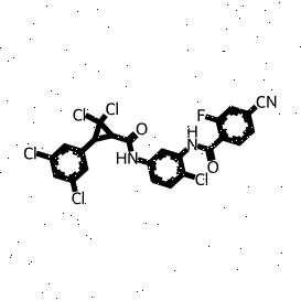 N#Cc1ccc(C(=O)Nc2cc(NC(=O)C3C(c4cc(Cl)cc(Cl)c4)C3(Cl)Cl)ccc2Cl)c(F)c1